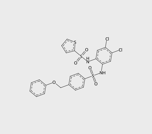 O=S(=O)(Nc1cc(Cl)c(Cl)cc1NS(=O)(=O)c1cccs1)c1ccc(COc2ccccc2)cc1